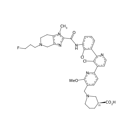 COc1nc(-c2ccnc(-c3cccc(NC(=O)c4nc5c(n4C)CCN(CCCF)C5)c3Cl)c2Cl)ccc1CN1CCC[C@H](C(=O)O)C1